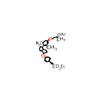 CCOC(=O)C#Cc1ccc(OC2CCc3c(-c4c(C)cc(OCC[C@@H](C)OC(C)=O)cc4C)cccc32)cc1